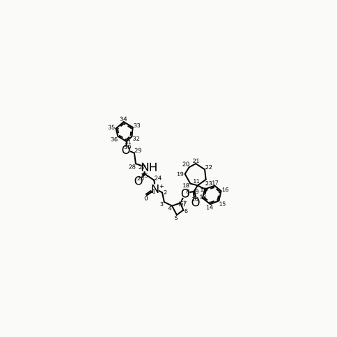 C=[N+](CCC1CC[C@@H]1OC(=O)C1(c2ccccc2)CCCCCC1)CC(=O)NCCOc1ccccc1